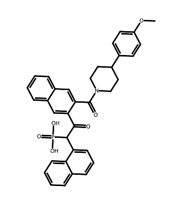 COc1ccc(C2CCN(C(=O)c3cc4ccccc4cc3C(=O)C(c3cccc4ccccc34)P(=O)(O)O)CC2)cc1